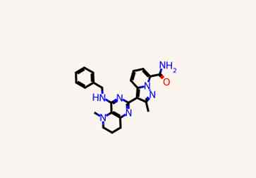 Cc1nn2c(C(N)=O)cccc2c1-c1nc2c(c(NCc3ccccc3)n1)N(C)CCC2